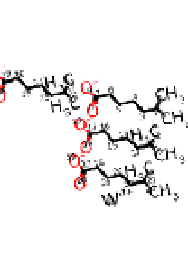 CC(C)CCCCC(=O)[O-].CC(C)CCCCC(=O)[O-].CC(C)CCCCC(=O)[O-].CC(C)CCCCC(=O)[O-].[W+4]